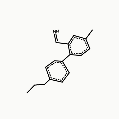 CCCc1ccc(-c2ccc(C)cc2C=N)cc1